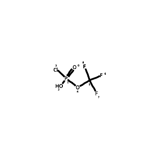 O=P(O)(Cl)OC(F)(F)F